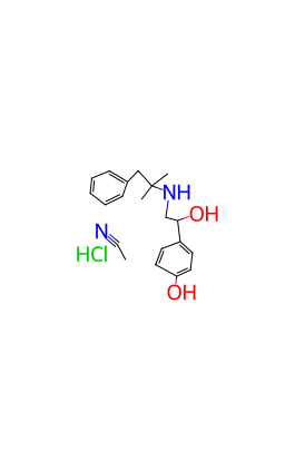 CC#N.CC(C)(Cc1ccccc1)NCC(O)c1ccc(O)cc1.Cl